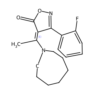 C/C(=C1\C(=O)ON=C1c1ccccc1F)N1CCCCCCC1